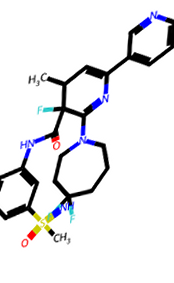 CC1C=C(c2cccnc2)N=C(N2CCCC(F)(F)CC2)C1(F)C(=O)Nc1cccc(S(C)(=N)=O)c1